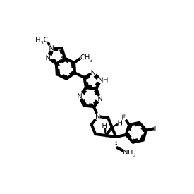 Cc1c(-c2n[nH]c3nc(N4CC[C@@H]5[C@H](C4)[C@@]5(CN)c4ccc(F)cc4F)cnc23)ccc2nn(C)cc12